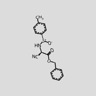 Cc1ccc([S+]([O-])N[C@H](C#N)C(=O)OCc2ccccc2)cc1